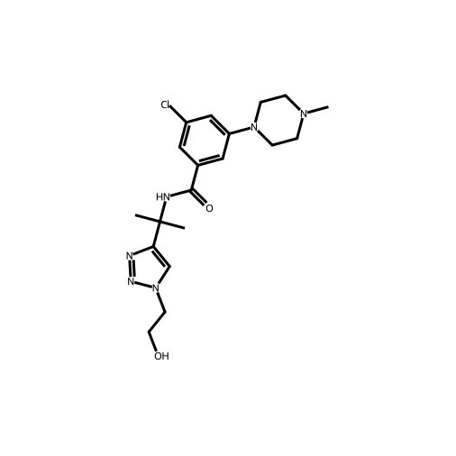 CN1CCN(c2cc(Cl)cc(C(=O)NC(C)(C)c3cn(CCO)nn3)c2)CC1